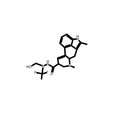 Cc1[nH]c2cccc3c2c1CC1C3=CC(C(=O)NN(CO)C(C)(F)F)CN1C